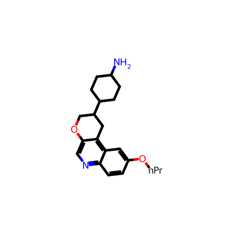 CCCOc1ccc2ncc3c(c2c1)CC(C1CCC(N)CC1)CO3